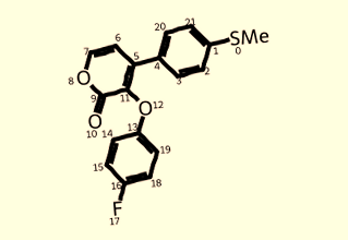 CSc1ccc(-c2ccoc(=O)c2Oc2ccc(F)cc2)cc1